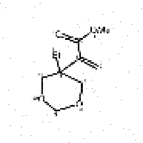 C=C(C(=O)OC)C1(CC)COCOC1